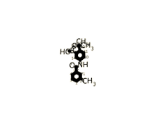 Cc1cccc(C(=O)Nc2ccc3c(c2)B(O)OC3(C)C)c1